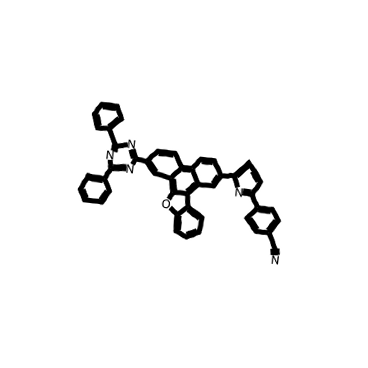 N#Cc1ccc(-c2cccc(-c3ccc4c5ccc(-c6nc(-c7ccccc7)nc(-c7ccccc7)n6)cc5c5oc6ccccc6c5c4c3)n2)cc1